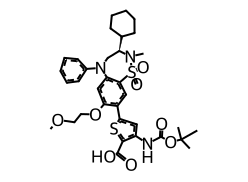 COCCOc1cc2c(cc1-c1cc(NC(=O)OC(C)(C)C)c(C(=O)O)s1)S(=O)(=O)N(C)[C@H](C1CCCCC1)CN2c1ccccc1